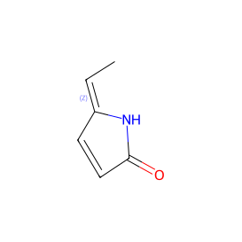 C/C=C1/C=CC(=O)N1